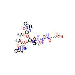 COc1cc2c(cc1OCc1cc(COc3cc4c(cc3OC)C(=O)N3c5ccccc5C[C@H]3CN4)cc(N(C)C(=O)CNC(=O)CNC(=O)CNC(=O)CCCCC(=O)O)c1)N=C[C@@H]1Cc3ccccc3N1C2=O